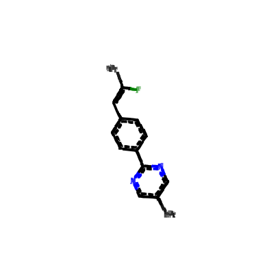 CCCC(F)=Cc1ccc(-c2ncc(CCC)cn2)cc1